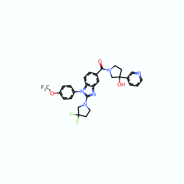 O=C(c1ccc2c(c1)nc(N1CCC(F)(F)C1)n2-c1ccc(OC(F)(F)F)cc1)N1CCC(O)(c2cccnc2)C1